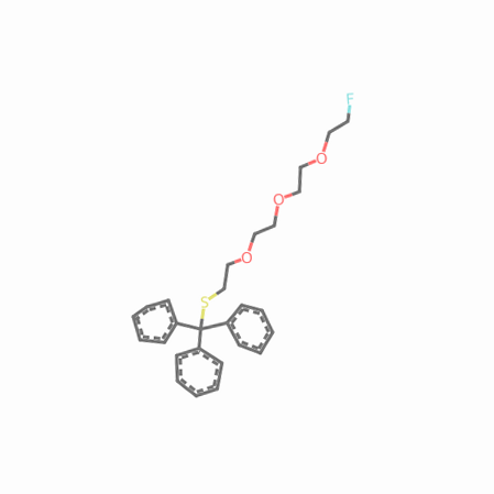 FCCOCCOCCOCCSC(c1ccccc1)(c1ccccc1)c1ccccc1